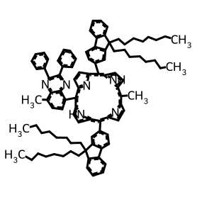 CCCCCCCCC1(CCCCCCCC)c2ccccc2-c2ccc(-c3c4nc(c(-c5ccc(C)c6nc(-c7ccccc7)c(-c7ccccc7)nc56)c5ccc([nH]5)c(-c5ccc6c(c5)C(CCCCCCCC)(CCCCCCCC)c5ccccc5-6)c5nc(c(C)c6ccc3[nH]6)C=C5)C=C4)cc21